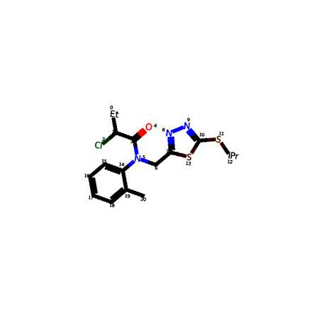 CCC(Cl)C(=O)N(Cc1nnc(SC(C)C)s1)c1ccccc1C